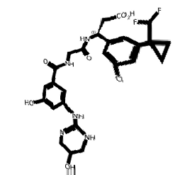 O=C(O)C[C@H](NC(=O)CNC(=O)c1cc(O)cc(NC2=NCC(O)CN2)c1)c1cc(Cl)cc(C2(C(F)F)CC2)c1